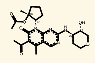 CC(=O)O[C@]1(C)CCC[C@@H]1n1c(=O)c(C(C)=O)c(C)c2cnc(N[C@@H]3CCOC[C@H]3O)nc21